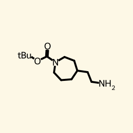 CC(C)(C)OC(=O)N1CCCC(CCN)CC1